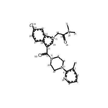 Cc1cccnc1N1CCN(C(=O)c2cn(CC(=O)N(C)C)c3cc(Cl)ccc23)CC1